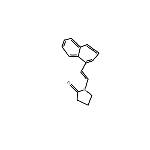 O=C1CCCN1C=Cc1cccc2ccccc12